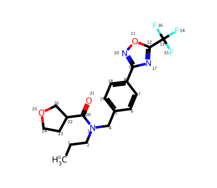 CCCN(Cc1ccc(-c2noc(C(F)(F)F)n2)cc1)C(=O)C1CCOC1